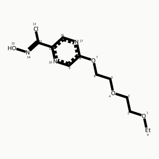 CCOCCOCCOc1cnc(/C(Cl)=N/O)cn1